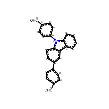 O=Cc1ccc(-c2ccc3c(c2)c2ccccc2n3-c2ccc(C=O)cc2)cc1